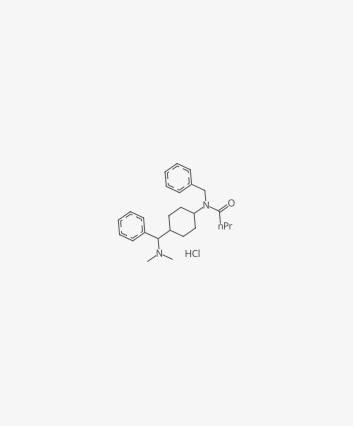 CCCC(=O)N(Cc1ccccc1)C1CCC(C(c2ccccc2)N(C)C)CC1.Cl